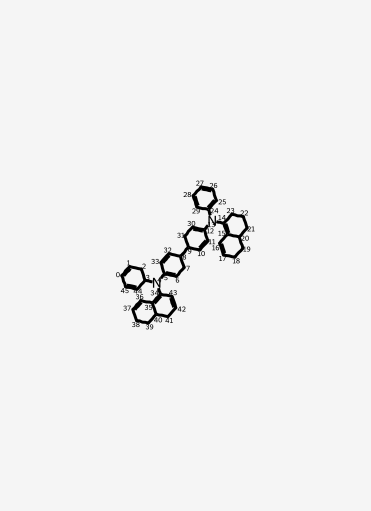 C1=CCC(N(C2=CCC(C3C=CC(N(C4=C5C=CCCC5CCC4)c4ccccc4)=CC3)C=C2)C2=C3C=CCCC3CC=C2)C=C1